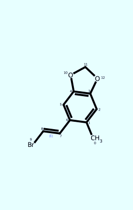 Cc1cc2c(cc1/C=C/Br)OCO2